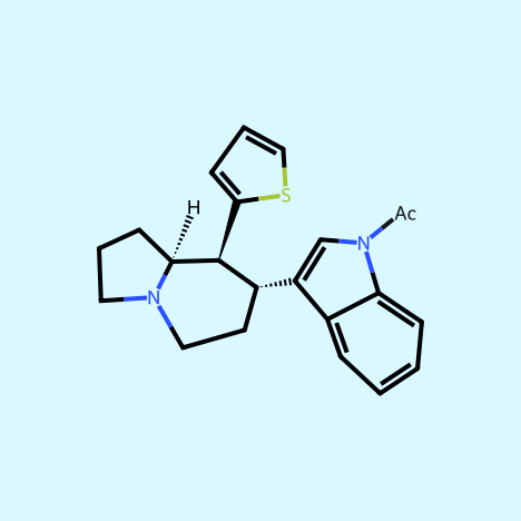 CC(=O)n1cc([C@@H]2CCN3CCC[C@H]3[C@H]2c2cccs2)c2ccccc21